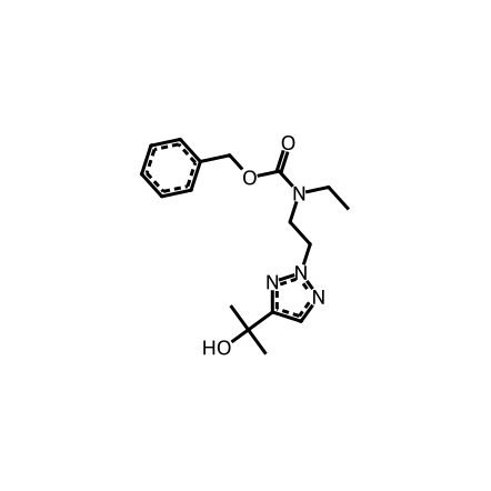 CCN(CCn1ncc(C(C)(C)O)n1)C(=O)OCc1ccccc1